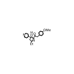 CCC1=NN(C(=O)Cc2ccc(OC)cc2)C(O)(c2ccncc2)C1